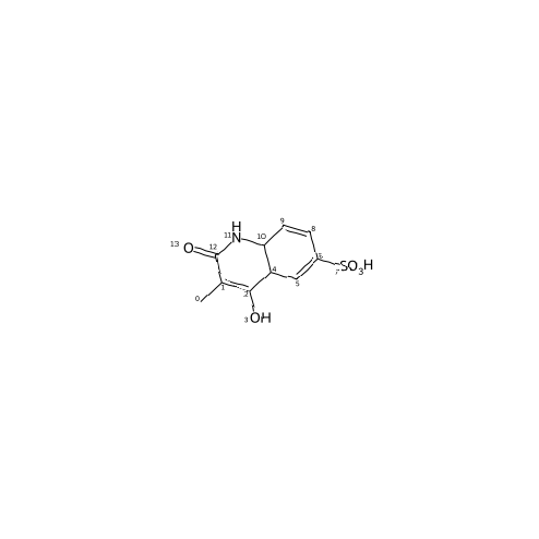 CC1=C(O)C2C=C(S(=O)(=O)O)C=CC2NC1=O